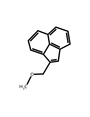 COCC1=Cc2cccc3cccc1c23